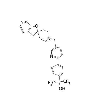 OC(c1ccc(-c2ccc(CN3CCC4(CC3)Cc3ccncc3O4)cn2)cc1)(C(F)(F)F)C(F)(F)F